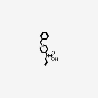 C=CCN(C(=O)O)C1CCN(Cc2ccccc2)CC1